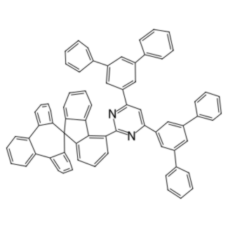 c1ccc(-c2cc(-c3ccccc3)cc(-c3cc(-c4cc(-c5ccccc5)cc(-c5ccccc5)c4)nc(-c4cccc5c4-c4ccccc4C54c5ccccc5-c5ccccc5-c5ccccc54)n3)c2)cc1